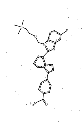 C[Si](C)(C)CCOCn1c(-c2cccc3c2ccn3-c2ccc(C(N)=O)cc2)nc2cc(F)ccc21